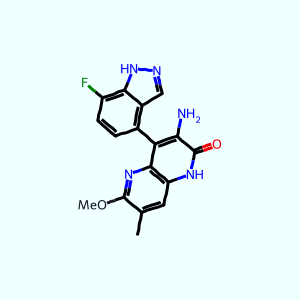 COc1nc2c(-c3ccc(F)c4[nH]ncc34)c(N)c(=O)[nH]c2cc1C